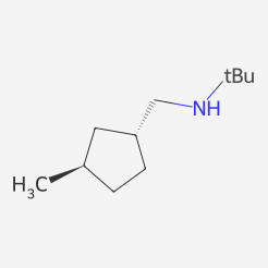 C[C@@H]1CC[C@@H](CNC(C)(C)C)C1